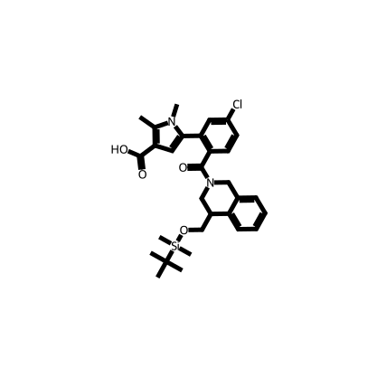 Cc1c(C(=O)O)cc(-c2cc(Cl)ccc2C(=O)N2Cc3ccccc3C(CO[Si](C)(C)C(C)(C)C)C2)n1C